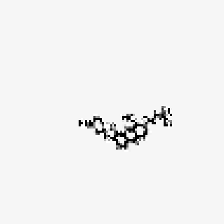 CCN(CC)CCOc1ccc2cc3ccc(OCCN(CC)CC)c(O)c3nc2c1O